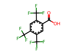 O=C(O)c1cc(C(F)(F)F)c(C(F)(F)F)cc1C(F)(F)F